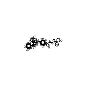 COC(=O)SCCN(C)c1ccc(/C=C/C23OCCN2c2ccccc2C3(C)C)cc1